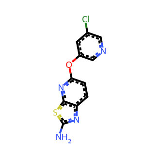 Nc1nc2ccc(Oc3cncc(Cl)c3)nc2s1